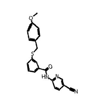 COc1ccc(CSc2cccc(C(=O)Nc3ccc(C#N)cn3)c2)cc1